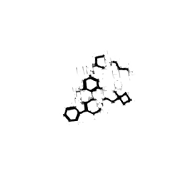 C[C@@H]1Cc2c([nH]c3ccccc23)[C@@H](c2c(F)cc(N[C@H]3CCN(CCCF)C3)cc2F)N1CCC1(CO)CCC1